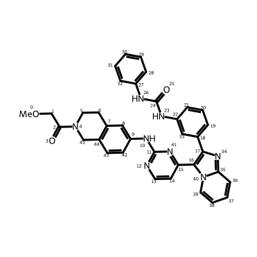 COCC(=O)N1CCc2cc(Nc3nccc(-c4c(-c5cccc(NC(=O)Nc6ccccc6)c5)nc5ccccn45)n3)ccc2C1